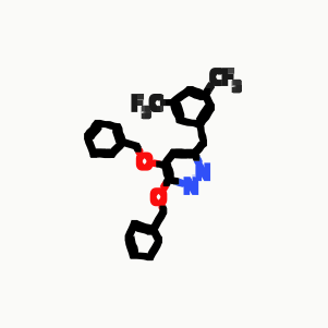 FC(F)(F)c1cc(Cc2cc(OCc3ccccc3)c(OCC3=CC=CCC3)nn2)cc(C(F)(F)F)c1